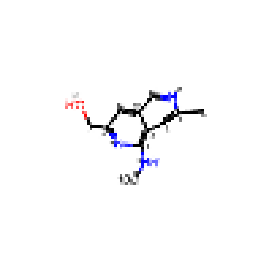 Cc1cc2c(NC(C)(C)C)nc(CO)cc2cn1